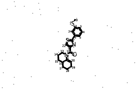 CSc1cccc(-c2nc(C(=O)N3CCCC4CCCC=C43)cs2)c1